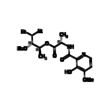 CCC(CC)[C@@H](OCC(C)C)[C@H](C)OC(=O)[C@H](C)NC(=O)c1nccc(OC)c1O